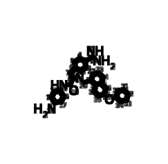 N=C(N)c1ccc2cc(C(=O)Nc3ccc(N)cc3)n(Cc3cccc4cc(Oc5ccccc5)ccc34)c2c1